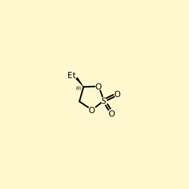 CC[C@@H]1COS(=O)(=O)O1